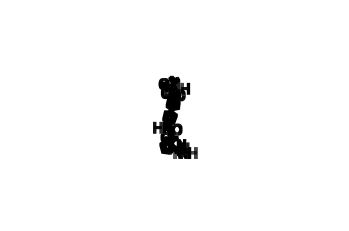 COC(=O)C(NS(=O)(=O)c1ccc(-c2ccc(NC(=O)c3oc4cccc(-c5nn[nH]n5)c4c3C)cc2)cc1)C(C)C